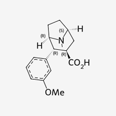 COc1cccc([C@@H]2[C@H]3CC[C@@H](C[C@H]2C(=O)O)N3C)c1